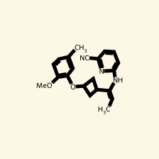 C/C=C(/Nc1cccc(C#N)n1)C1CC(Oc2cc(C)ccc2OC)C1